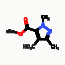 CCCCOC(=O)c1c(C(=O)O)c(C)nn1C